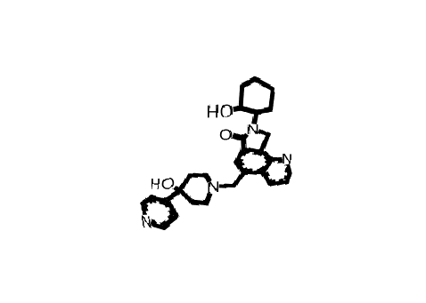 O=C1c2cc(CN3CCC(O)(c4ccncc4)CC3)c3cccnc3c2CN1C1CCCCC1O